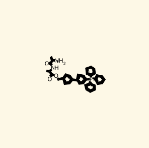 CC(N)C(=O)NC(C)C(=O)OCc1ccc(-c2ccc([PH](c3ccccc3)(c3ccccc3)c3ccccc3)cc2)cc1